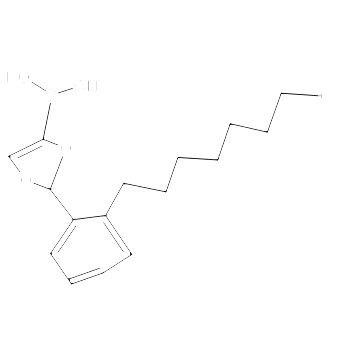 CCCCCCCCc1ccccc1C1OC=C(B(O)O)O1